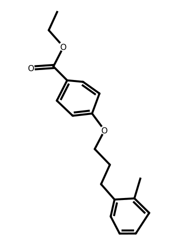 CCOC(=O)c1ccc(OCCCc2ccccc2C)cc1